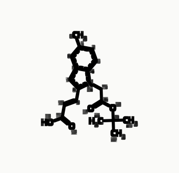 Cc1ccc2c(c1)cc(C=CC(=O)O)n2CC(=O)OC(C)(C)C